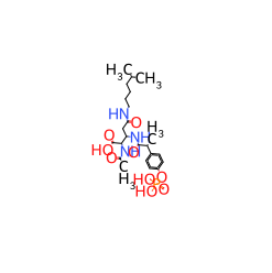 CC(=O)NC(C(=O)O)C(CC(=O)NCCCCC(C)C)NC(=O)C(C)c1ccc(OP(=O)(O)O)cc1